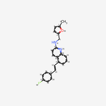 Cc1ccc(CNc2ccc3c(C=Cc4ccc(F)cc4)cccc3n2)o1